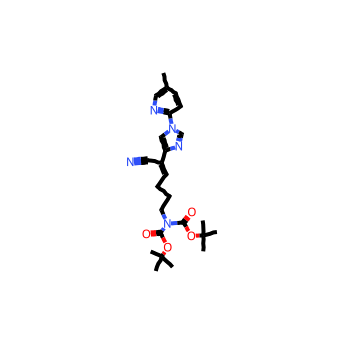 Cc1ccc(-n2cnc(/C(C#N)=C/CCCN(C(=O)OC(C)(C)C)C(=O)OC(C)(C)C)c2)nc1